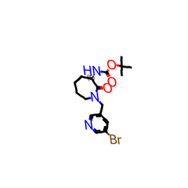 CC(C)(C)OC(=O)N[C@H]1CCCCN(Cc2cncc(Br)c2)C1=O